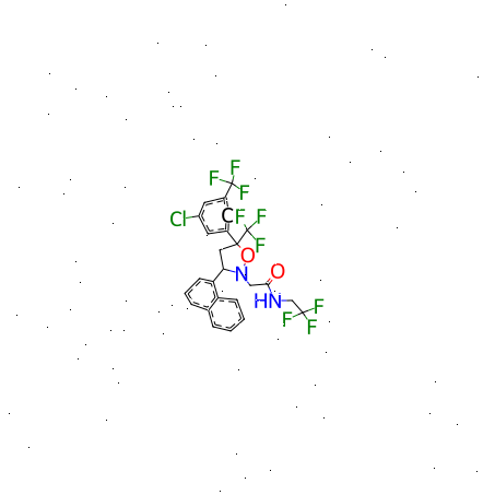 O=C(CN1OC(c2cc(Cl)cc(C(F)(F)F)c2)(C(F)(F)F)CC1c1cccc2ccccc12)NCC(F)(F)F